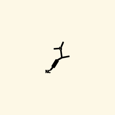 CC(C#CC#N)N(C)C